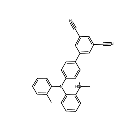 Cc1ccccc1N(c1ccc(-c2cc(C#N)cc(C#N)c2)cc1)c1ccccc1[SiH](C)C